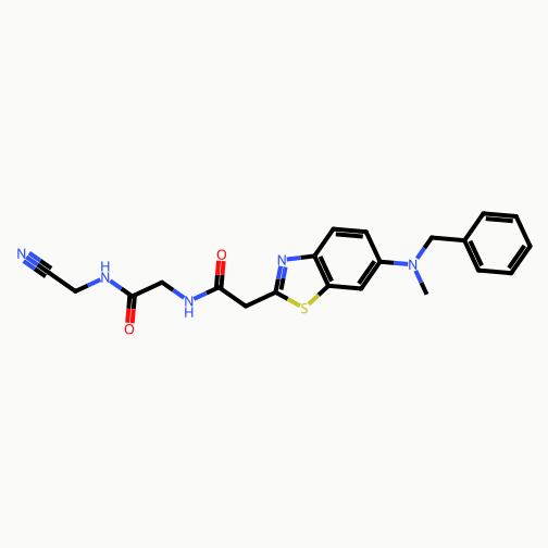 CN(Cc1ccccc1)c1ccc2nc(CC(=O)NCC(=O)NCC#N)sc2c1